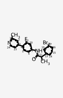 Cc1cc(-c2ccc(NC(=O)C(C)c3cccc(Br)c3)cc2F)ccn1